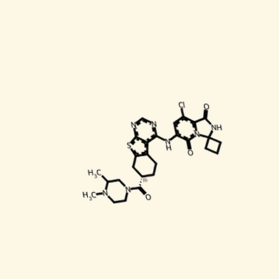 CC1CN(C(=O)[C@H]2CCc3c(sc4ncnc(Nc5cc(Cl)c6n(c5=O)C5(CCC5)NC6=O)c34)C2)CCN1C